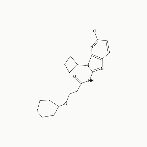 O=C(CCOC1CCCCC1)Nc1nc2ccc(Cl)nc2n1C1CCC1